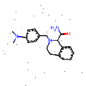 CN(C)c1ccc(CN2CCc3c[c]ccc3C2C(N)=O)cc1